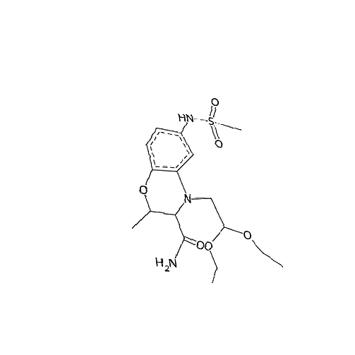 CCOC(CN1c2cc(NS(C)(=O)=O)ccc2OC(C)C1C(N)=O)OCC